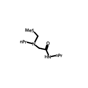 CCCNC(=O)CN(CCC)CSC